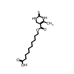 CC1=C(C(=O)OCCCCCCCCCC(=O)O)CNC(=S)N1